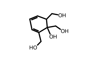 OCC1=CC=CC(CO)C1(O)CO